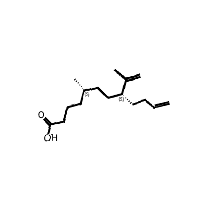 C=CCC[C@H](CC[C@@H](C)CCCC(=O)O)C(=C)C